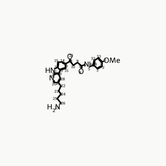 COc1ccc(CNC(=O)CCC(=O)c2ccc3[nH]c4ncc(CCCCCN)cc4c3c2)cc1